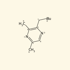 CCC(C)Cc1ncc(C)nc1C